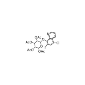 CC(=O)OC1OC(Oc2c(I)cc(Cl)c3cccnc23)C(OC(C)=O)C(OC(C)=O)C1OC(C)=O